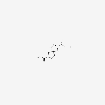 CC(C)[C@@H](C(=O)O)N1CC[C@]2(CCN(C(=O)OC(C)(C)C)C2)C1